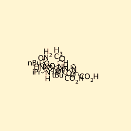 CCCC[C@H](NC(=O)[C@H](CC(C)C)NC(=O)[C@@H](NC(=O)[C@H](Cc1ccccc1C)NC(=O)[C@H](CCC(=O)O)NC(=O)[C@H]1CCCN1C(=O)CCC(=O)O)C(C)(C)C)C(=O)C(N)=O